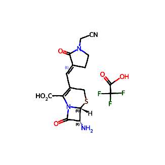 N#CCN1CC/C(=C\C2=C(C(=O)O)N3C(=O)[C@@H](N)[C@H]3SC2)C1=O.O=C(O)C(F)(F)F